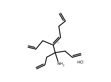 C=CC/C=C(\CC=C)C(N)(CC=C)CC=C.Cl